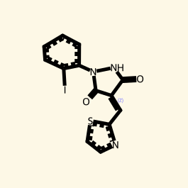 O=C1NN(c2ccccc2I)C(=O)/C1=C\c1nccs1